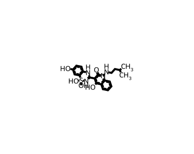 CC(C)CCNn1c(=O)c(C2=NS(O)(O)c3cc(O)ccc3N2)c(O)c2ccccc21